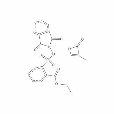 CC1=COC1=O.CCOC(=O)c1ccccc1S(=O)(=O)ON1C(=O)c2ccccc2C1=O